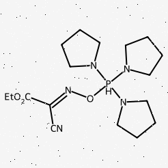 CCOC(=O)C(C#N)=NO[PH](N1CCCC1)(N1CCCC1)N1CCCC1